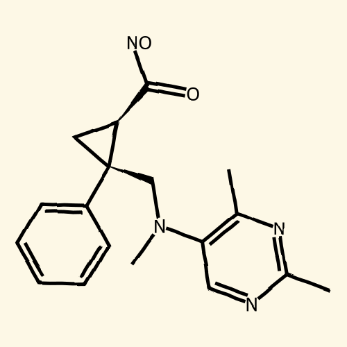 Cc1ncc(N(C)C[C@@]2(c3ccccc3)C[C@H]2C(=O)N=O)c(C)n1